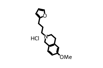 COc1ccc2c(c1)CCN(CCCc1ccco1)C2.Cl